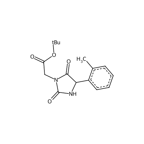 Cc1ccccc1C1NC(=O)N(CC(=O)OC(C)(C)C)C1=O